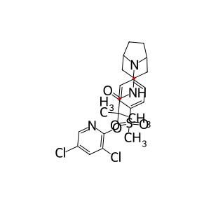 CC(C)(Oc1ncc(Cl)cc1Cl)C(=O)NC1CC2CCC(C1)N2c1ccc(S(C)(=O)=O)cc1